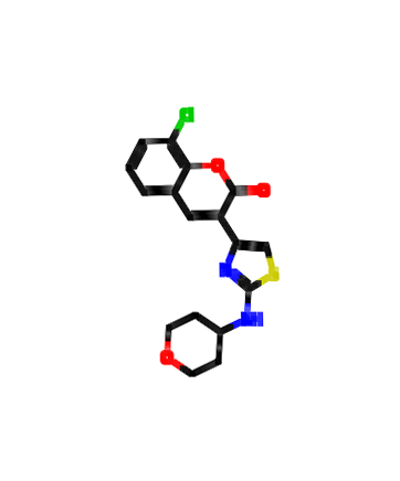 O=c1oc2c(Cl)cccc2cc1-c1csc(NC2CCOCC2)n1